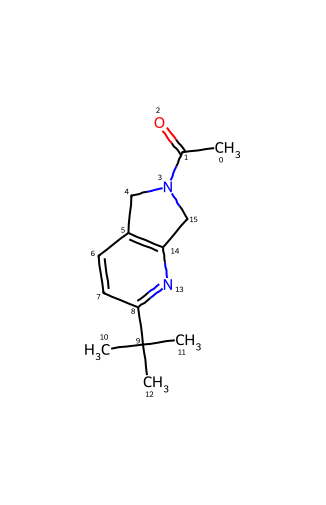 CC(=O)N1Cc2ccc(C(C)(C)C)nc2C1